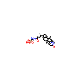 CC1C[C@H]2N(C)C(=O)CC[C@]2(C)[C@H]2CC[C@]3(C)[C@@H]([C@H](C)CCC(=O)NCCS(=O)(=O)O)CC[C@H]3[C@H]12